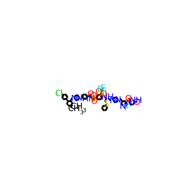 CC1(C)CCC(c2ccc(Cl)cc2)=C(CN2CCN(c3ccc(C(=O)NS(=O)(=O)c4ccc(N[C@H](CCN5CCN(Cc6cnc(F)c(N7CCC(=O)NC7=O)c6)CC5)CSc5ccccc5)c(S(=O)(=O)C(F)(F)F)c4)cc3)CC2)C1